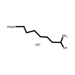 CCCCCCCCCCCCCC(N)CCC.Cl